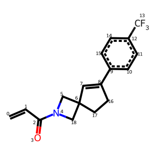 C=CC(=O)N1CC2(C=C(c3ccc(C(F)(F)F)cc3)CC2)C1